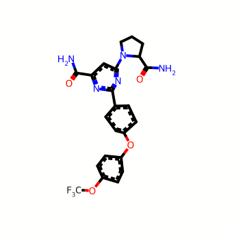 NC(=O)c1cc(N2CCCC2C(N)=O)nc(-c2ccc(Oc3ccc(OC(F)(F)F)cc3)cc2)n1